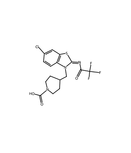 O=C(O)N1CCC(Cn2c(=NC(=O)C(F)(F)F)sc3cc(Cl)ccc32)CC1